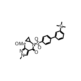 COc1nn(C)cc1C(=O)N(C1CC1)S(=O)(=O)c1ccc(-c2cccc([Si](C)(C)C)c2)cc1